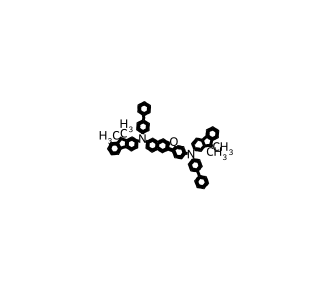 CC1(C)c2ccccc2-c2ccc(N(c3ccc(-c4ccccc4)cc3)c3ccc4cc5c(cc4c3)oc3cc(N(C4=CC6C(C=C4)c4ccccc4C6(C)C)c4ccc(-c6ccccc6)cc4)ccc35)cc21